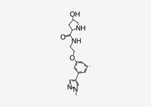 Cn1cc(-c2c[c]cc(OCCNC(=O)C3CC(O)CN3)c2)cn1